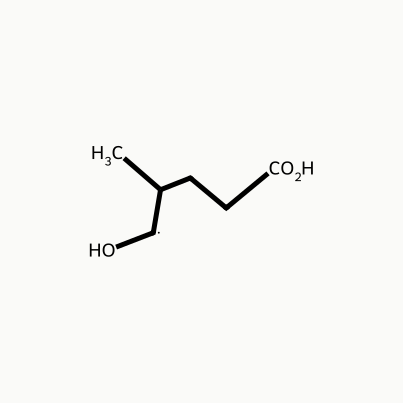 CC([CH]O)CCC(=O)O